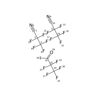 N#CC(F)(F)C(F)(F)F.N#CC(F)(F)C(F)(F)F.O=C(I)C(F)(F)C(F)(F)F